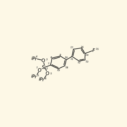 CC(C)O[Si](OC(C)C)(OC(C)C)c1ccc(-c2ccc(F)cc2)cc1